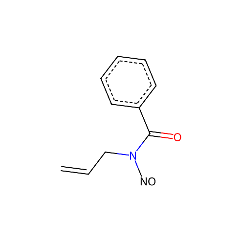 C=CCN(N=O)C(=O)c1ccccc1